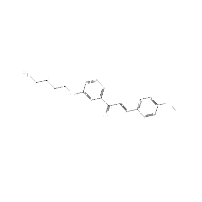 COc1ccc(C=CC(=O)c2cccc(OCCCCBr)c2)cc1